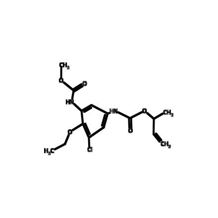 C=CC(C)OC(=O)Nc1cc(Cl)c(OCC)c(NC(=O)OC)c1